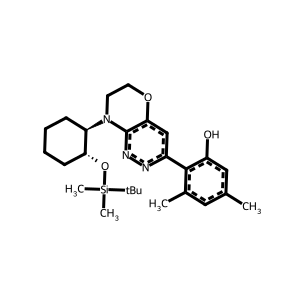 Cc1cc(C)c(-c2cc3c(nn2)N([C@@H]2CCCC[C@H]2O[Si](C)(C)C(C)(C)C)CCO3)c(O)c1